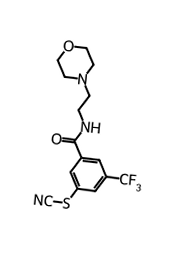 N#CSc1cc(C(=O)NCCN2CCOCC2)cc(C(F)(F)F)c1